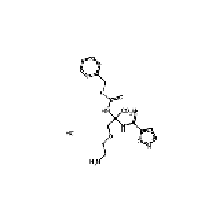 Cl.NCCOCC(NC(=O)OCc1ccccc1)(NC(=O)c1ccno1)C(=O)O